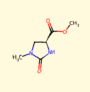 COC(=O)[C@@H]1CN(C)C(=O)N1